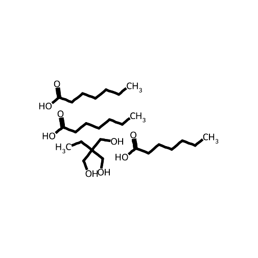 CCC(CO)(CO)CO.CCCCCCC(=O)O.CCCCCCC(=O)O.CCCCCCC(=O)O